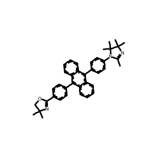 CC1=NC(C)(C)C(C)(C)N1c1ccc(-c2c3ccccc3c(-c3ccc(C4=NC(C)(C)CO4)cc3)c3ccccc23)cc1